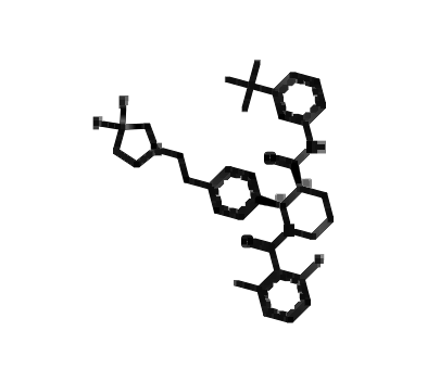 Cc1cccc(F)c1C(=O)N1CCC[C@H](C(=O)Nc2cccc(C(C)(C)C)c2)[C@@H]1c1ccc(CCN2CCC(F)(F)C2)cc1